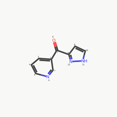 O=C(c1cccnc1)c1cc[nH]n1